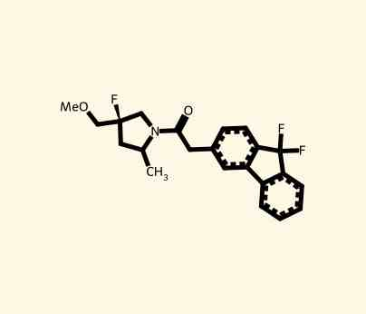 COC[C@@]1(F)CC(C)N(C(=O)Cc2ccc3c(c2)-c2ccccc2C3(F)F)C1